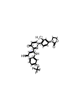 Cc1cc(N2CCOC2=O)ccc1-n1ccc(=O)c(/C(=C/C=N)Nc2cccc(OC(F)(F)F)c2)n1